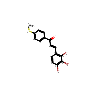 CCCCCCCSc1ccc(C(=O)C=Cc2ccc(Br)c(Br)c2Br)cc1